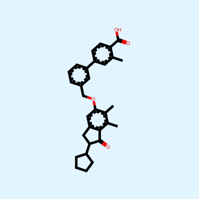 Cc1cc(-c2cccc(COc3cc4c(c(C)c3C)C(=O)C(C3CCCC3)C4)c2)ccc1C(=O)O